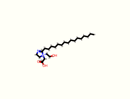 CCCCCCCCCCCCCCCCC1=NCC[N+]1(CCO)CC(=O)O